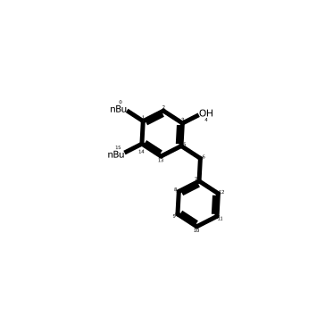 CCCCc1cc(O)c(Cc2ccccc2)cc1CCCC